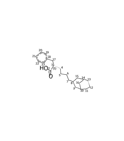 O=C(O)[C@@H](CCCCC1CC2CCCC(C1)C2)Cc1ccccc1